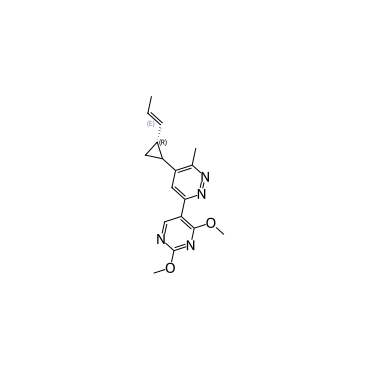 C/C=C/[C@H]1CC1c1cc(-c2cnc(OC)nc2OC)nnc1C